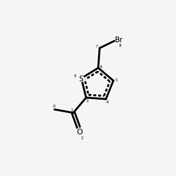 CC(=O)c1ccc(CBr)s1